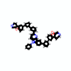 c1ccc(-n2c3ccc(-c4cccc(-c5ccc6oc7cnccc7c6c5)c4)cc3c3nc(-c4cccc(-c5cccc(-c6ccc7oc8cnccc8c7c6)c5)c4)ccc32)cc1